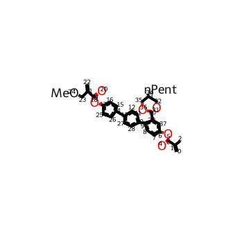 C=C(C)C(=O)Oc1ccc(-c2ccc(-c3ccc(OC(=O)C(=C)COC)cc3)cc2)c(C2OCC(CCCCC)CO2)c1